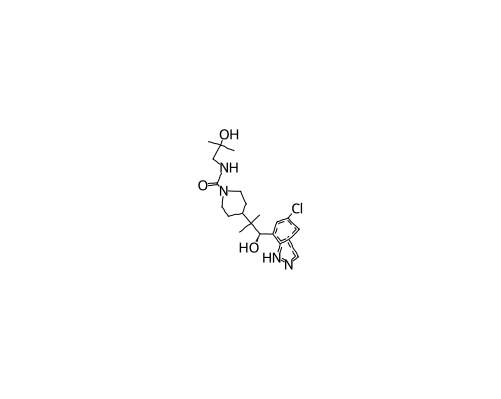 CC(C)(O)CNC(=O)N1CCC(C(C)(C)[C@H](O)c2cc(Cl)cc3cn[nH]c23)CC1